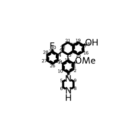 COc1cc(N2CCNCC2)ccc1[C@@H]1c2ccc(O)cc2CC[C@@H]1c1ccccc1F